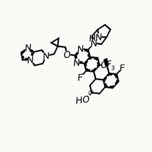 C#Cc1c(F)ccc2c1C(c1c(C(F)(F)F)cc3c(N4CC5CCC(C4)N5)nc(OCC4(CN5CCn6ccnc6C5)CC4)nc3c1F)C[C@H](O)C2